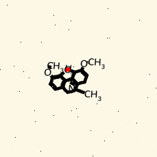 COC1=CCC2C3Cc4ccc(OC)c5c4[C@@]2(CCN3C)[C@H]1O5